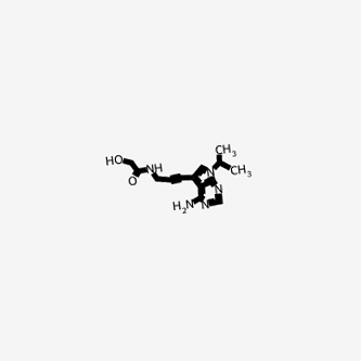 CC(C)n1cc(C#CCNC(=O)CO)c2c(N)ncnc21